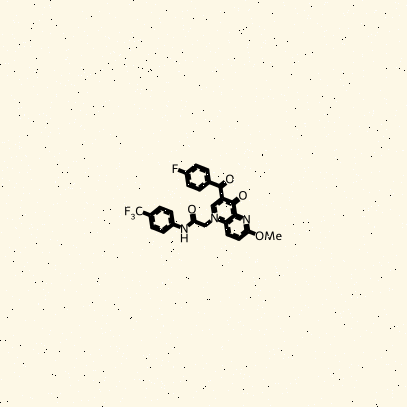 COc1ccc2c(n1)c(=O)c(C(=O)c1ccc(F)cc1)cn2CC(=O)Nc1ccc(C(F)(F)F)cc1